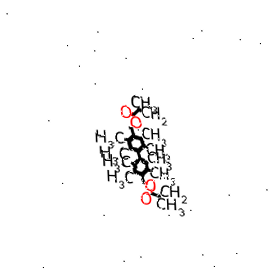 C=C(C)C(=O)OCc1c(C)c(C)c(-c2c(C)c(C)c(COC(=O)C(=C)C)c(C)c2C)c(C)c1C